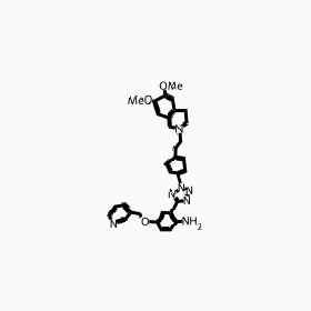 COc1cc2c(cc1OC)CN(CCc1ccc(-n3nnc(-c4cc(OCc5cccnc5)ccc4N)n3)cc1)CC2